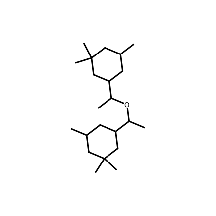 CC1CC(C(C)OC(C)C2CC(C)CC(C)(C)C2)CC(C)(C)C1